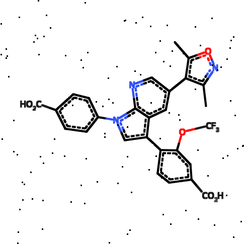 Cc1noc(C)c1-c1cnc2c(c1)c(-c1ccc(C(=O)O)cc1OC(F)(F)F)cn2-c1ccc(C(=O)O)cc1